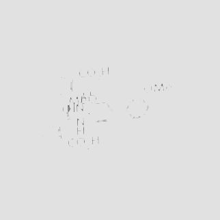 COc1cccc(C2=CC(OC)C(NC(=O)C3=C(C(=O)O)CCC3)(NC(=O)C3=C(C(=O)O)CCC3)C=C2)c1